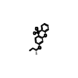 CC[C@@H](C)Oc1ccc2c(c1)Oc1ccccc1S2(=O)=O